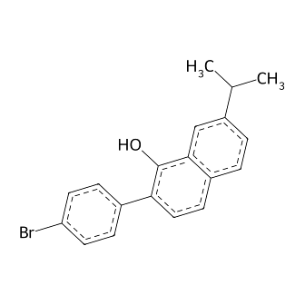 CC(C)c1ccc2ccc(-c3ccc(Br)cc3)c(O)c2c1